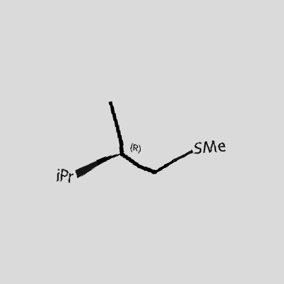 CSC[C@H](C)C(C)C